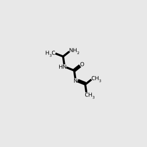 CC(C)=NC(=O)NC(C)N